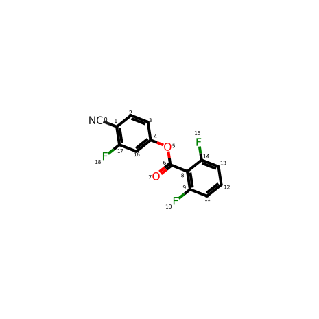 N#Cc1ccc(OC(=O)c2c(F)cccc2F)cc1F